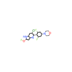 FOc1cc2nc(-c3c(F)cc(N4CCOCC4)cc3F)c(Cl)cc2[nH]1